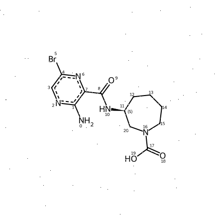 Nc1ncc(Br)nc1C(=O)N[C@H]1CCCCN(C(=O)O)C1